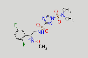 CO/N=C(\CNS(=O)(=O)c1ncn(S(=O)(=O)N(C)C)n1)c1cc(F)ccc1F